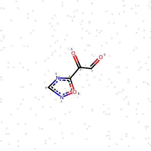 O=CC(=O)c1ncno1